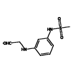 CS(=O)(=O)Nc1cccc(NC[C]=O)c1